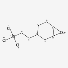 Cl[Si](Cl)(Cl)CCC1CCC2OC2C1